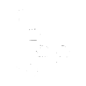 c1ccc(-c2ccc(-c3nc(-c4cccc5ccccc45)c4ccc5ccccc5c4n3)cc2)cc1